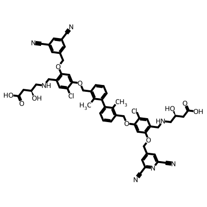 Cc1c(COc2cc(OCc3cc(C#N)cc(C#N)c3)c(CNC[C@@H](O)CC(=O)O)cc2Cl)cccc1-c1cccc(COc2cc(OCc3cc(C#N)nc(C#N)c3)c(CNC[C@@H](O)CC(=O)O)cc2Cl)c1C